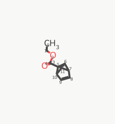 CCOC(=O)C1=CC2C=CC1C2